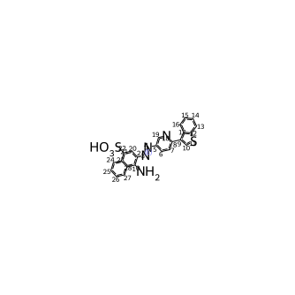 Nc1c(/N=N/c2ccc(-c3csc4ccccc34)nc2)cc(S(=O)(=O)O)c2ccccc12